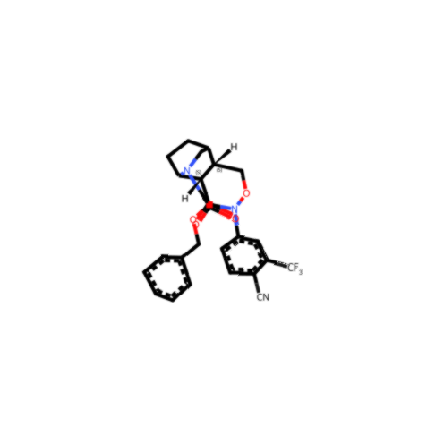 N#Cc1ccc(N2OC[C@H]3C4CCC([C@H]3C2=O)N(C(=O)OCc2ccccc2)C4)cc1C(F)(F)F